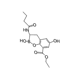 CCCC(=O)NC1Cc2cc(O)cc(C(=O)OCC)c2OB1O